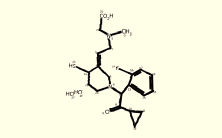 CN(CC=C1CN(C(C(=O)C2CC2)c2ccccc2F)CCC1S)CC(=O)O.Cl.Cl